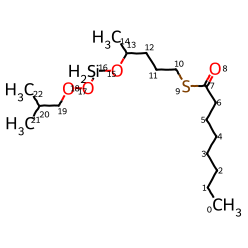 CCCCCCCC(=O)SCCCC(C)O[SiH2]OOCC(C)C